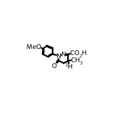 [2H]C1(C)CC(=O)N(c2ccc(OC)cc2)N=C1C(=O)O